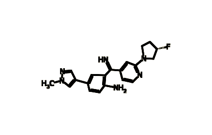 Cn1cc(-c2ccc(N)c(C(=N)c3ccnc(N4CC[C@H](F)C4)c3)c2)cn1